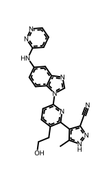 Cc1[nH]nc(C#N)c1-c1nc(-n2cnc3cc(Nc4cccnn4)ccc32)ccc1CCO